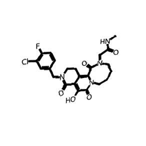 CNC(=O)CN1CCCCn2c(c3c(c(O)c2=O)C(=O)N(Cc2ccc(F)c(Cl)c2)CC3)C1=O